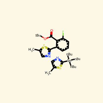 CCC[CH2][Sn]([CH2]CCC)([CH2]CCC)[c]1ncc(C)s1.Cc1cnc(-c2cccc(F)c2C(=O)OC(C)(C)C)s1